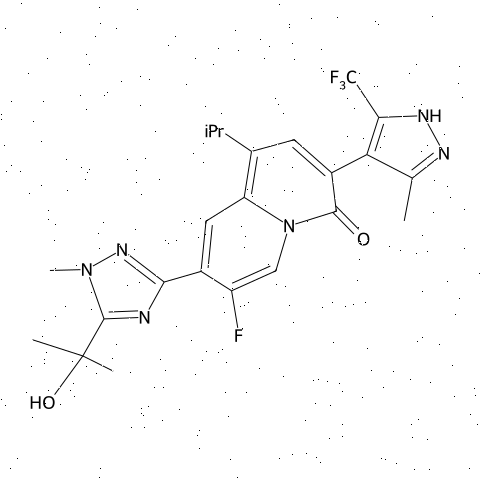 Cc1n[nH]c(C(F)(F)F)c1-c1cc(C(C)C)c2cc(-c3nc(C(C)(C)O)n(C)n3)c(F)cn2c1=O